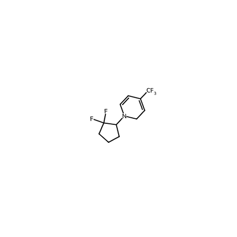 FC(F)(F)C1=CCN(C2CCCC2(F)F)C=C1